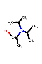 CCN(C(C)C)C(C)C.CO